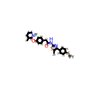 Cc1cccnc1Oc1ccc(CC(=O)Nc2nc(-c3ccc(SC(C)C)cc3)c(C)s2)cc1F